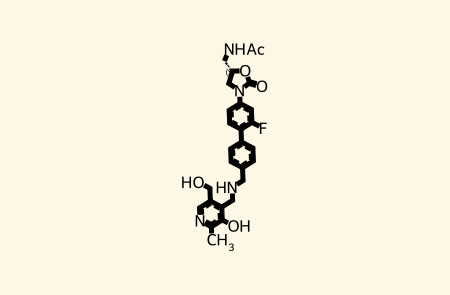 CC(=O)NC[C@H]1CN(c2ccc(-c3ccc(CNCc4c(CO)cnc(C)c4O)cc3)c(F)c2)C(=O)O1